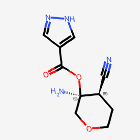 N#C[C@H]1CCOC[C@@]1(N)OC(=O)c1cn[nH]c1